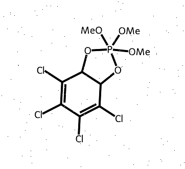 COP1(OC)(OC)OC2C(Cl)=C(Cl)C(Cl)=C(Cl)C2O1